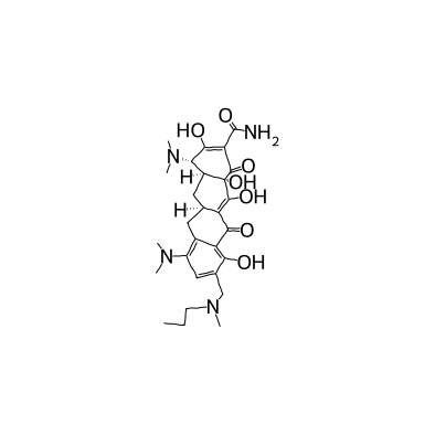 CCCN(C)Cc1cc(N(C)C)c2c(c1O)C(=O)C1=C(O)[C@]3(O)C(=O)C(C(N)=O)=C(O)[C@@H](N(C)C)[C@@H]3C[C@@H]1C2